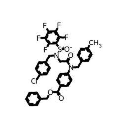 Cc1ccc(CN(C(=O)CN(Cc2ccc(Cl)cc2)[S+]([O-])c2c(F)c(F)c(F)c(F)c2F)c2ccc(C(=O)OCc3ccccc3)cc2)cc1